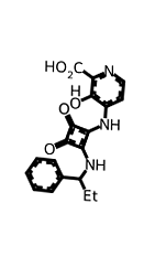 CCC(Nc1c(Nc2ccnc(C(=O)O)c2O)c(=O)c1=O)c1ccccc1